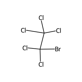 ClC(Cl)(Cl)C(Cl)(Cl)Br